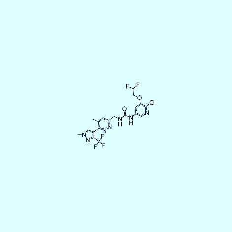 Cc1cc(CNC(=O)Nc2cnc(Cl)c(OCC(F)F)c2)nnc1-c1cn(C)nc1C(F)(F)F